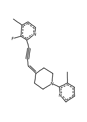 Cc1cccnc1N1CCC(=CC#Cc2nccc(C)c2F)CC1